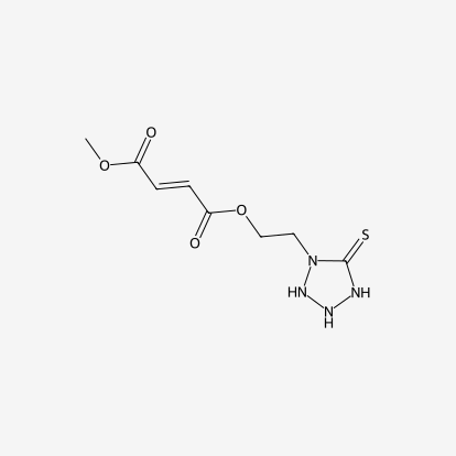 COC(=O)/C=C/C(=O)OCCN1NNNC1=S